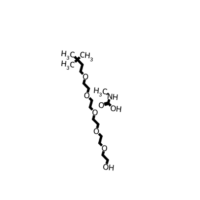 CC(C)(C)CCOCCOCCOCCOCCOCCO.CNC(=O)O